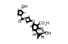 O=C(O)c1c(OC2CN(C(=O)[C@H]3CC[C@H](O)C3)C2)ccc2c1OB(O)[C@H]1C[C@@H]21